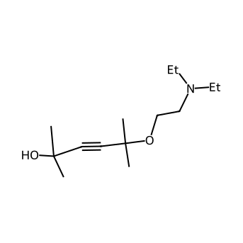 CCN(CC)CCOC(C)(C)C#CC(C)(C)O